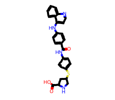 O=C(Nc1ccc(SC2CNC(C(=O)O)C2)cc1)c1ccc(Nc2ccnc3ccccc23)cc1